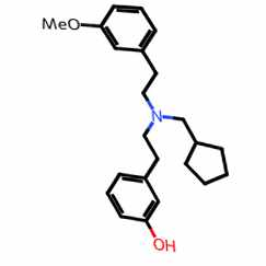 COc1cccc(CCN(CCc2cccc(O)c2)CC2CCCC2)c1